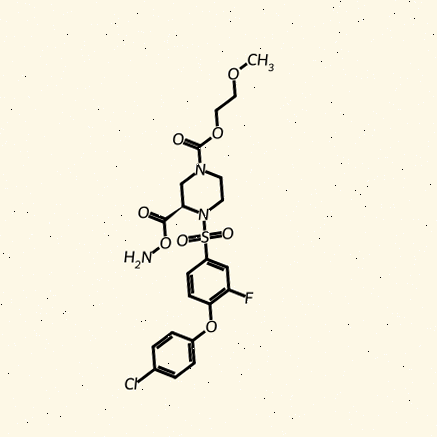 COCCOC(=O)N1CCN(S(=O)(=O)c2ccc(Oc3ccc(Cl)cc3)c(F)c2)[C@@H](C(=O)ON)C1